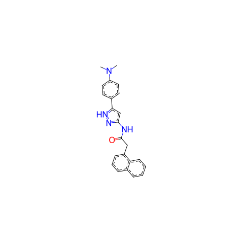 CN(C)c1ccc(-c2cc(NC(=O)Cc3cccc4ccccc34)n[nH]2)cc1